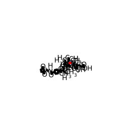 CNC(C(=O)NC(C(=O)N(C)C(/C=C(\C)C(=O)NC(CCC(=O)O)C(=O)O)C(C)C)C(C)(C)C)C(C)(C)c1ccc(C(=O)NCCN2C(=O)C=CC2=O)cc1